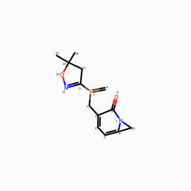 C=S(Cc1ccc2n(c1=O)C2)C1=NOC(C)(C)C1